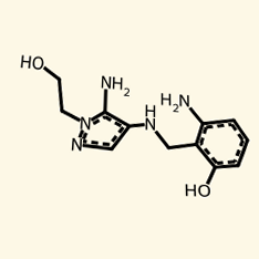 Nc1cccc(O)c1CNc1cnn(CCO)c1N